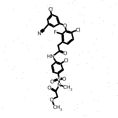 COCC(=O)N(C)S(=O)(=O)c1ccc(NC(=O)Cc2ccc(Cl)c(Oc3cc(Cl)cc(C#N)c3)c2F)c(Cl)c1